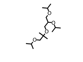 CC(C)OCC(COC(C)(C)COC(C)C)OC(C)C